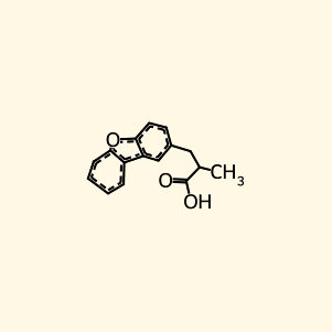 CC(Cc1ccc2oc3ccccc3c2c1)C(=O)O